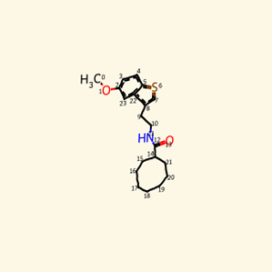 COc1ccc2scc(CCNC(=O)C3CCCCCCC3)c2c1